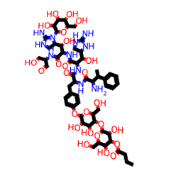 CCCC(=O)OC1C(O)C(CO)OC(OC2C(CO)OC(Oc3ccc(CC(NC(=O)C(N)C(C)c4ccccc4)C(=O)NC(C(=O)NC(C(=O)NC([C]=O)CO)C(O)C4CNC(=N)N4C4OC(CO)C(O)C(O)C4O)C(O)C4CNC(=N)N4)cc3)C(O)C2O)C1O